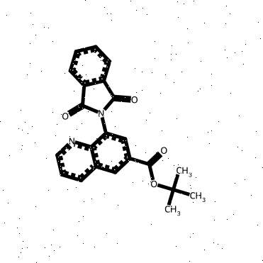 CC(C)(C)OC(=O)c1cc(N2C(=O)c3ccccc3C2=O)c2ncccc2c1